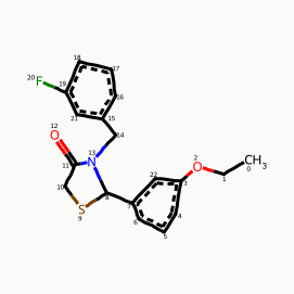 CCOc1cccc(C2SCC(=O)N2Cc2cccc(F)c2)c1